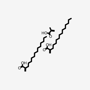 C=C(C)C(=O)O.C=C(CCCCCCCCCCCCC)C(=O)O.C=C(CCCCCCCCCCCCC)C(=O)O